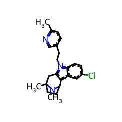 Cc1ccc(CCn2c3c(c4cc(Cl)ccc42)C2CCC(C)(C3)N2C)cn1